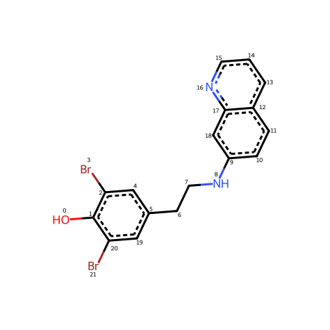 Oc1c(Br)cc(CCNc2ccc3cccnc3c2)cc1Br